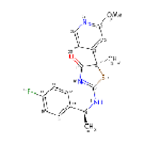 COc1cc([C@@]2(C)SC(N[C@@H](C)c3ccc(F)cc3)=NC2=O)ccn1